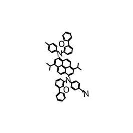 Cc1ccc(N(c2cc(C(C)C)c3ccc4c(N(c5ccc(C#N)cc5)c5cccc6c5oc5ccccc56)cc(C(C)C)c5ccc2c3c54)c2cccc3c2oc2ccccc23)cc1